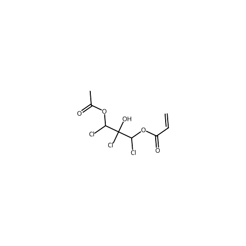 C=CC(=O)OC(Cl)C(O)(Cl)C(Cl)OC(C)=O